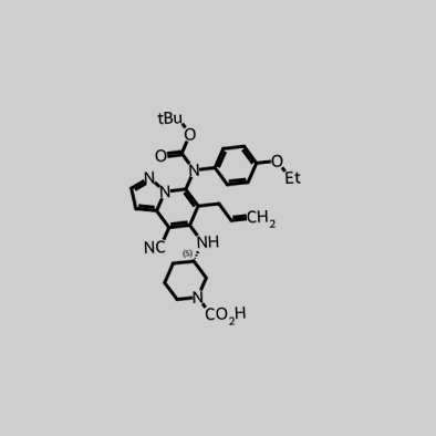 C=CCc1c(N[C@H]2CCCN(C(=O)O)C2)c(C#N)c2ccnn2c1N(C(=O)OC(C)(C)C)c1ccc(OCC)cc1